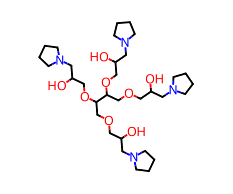 OC(COCC(OCC(O)CN1CCCC1)C(COCC(O)CN1CCCC1)OCC(O)CN1CCCC1)CN1CCCC1